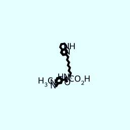 Cn1ncc2cc(C(=O)N[C@H](CCCCCCCc3ccc4c(n3)NCCC4)C(=O)O)ccc21